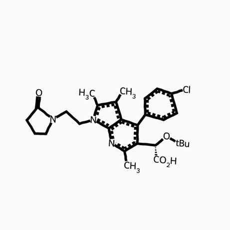 Cc1nc2c(c(C)c(C)n2CCN2CCCC2=O)c(-c2ccc(Cl)cc2)c1[C@H](OC(C)(C)C)C(=O)O